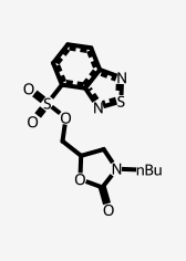 CCCCN1CC(COS(=O)(=O)c2cccc3nsnc23)OC1=O